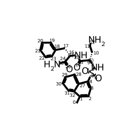 Cc1ccc(S(=O)(=O)N[C@@H](CCN)C(=O)N[C@@H](Cc2ccccc2)C(N)=O)c2ccccc12